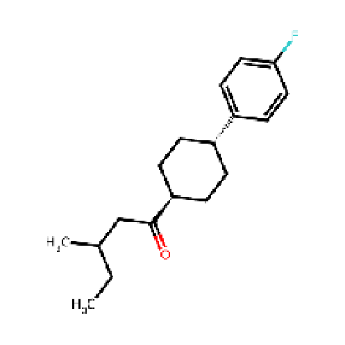 CCC(C)CC(=O)[C@H]1CC[C@H](c2ccc(F)cc2)CC1